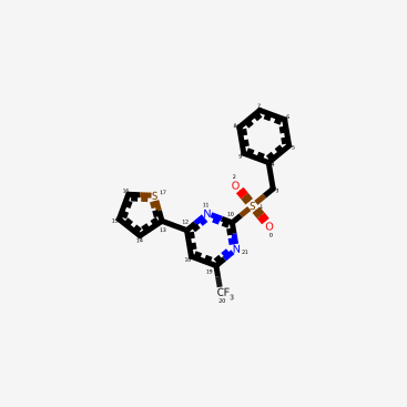 O=S(=O)(Cc1ccccc1)c1nc(-c2cccs2)cc(C(F)(F)F)n1